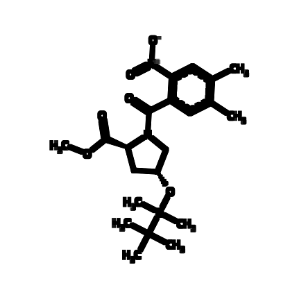 COC(=O)[C@@H]1C[C@@H](O[Si](C)(C)C(C)(C)C)CN1C(=O)c1cc(C)c(C)cc1[N+](=O)[O-]